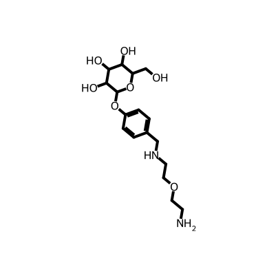 NCCOCCNCc1ccc(OC2OC(CO)C(O)C(O)C2O)cc1